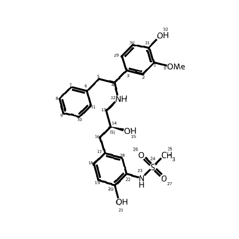 COc1cc(C(Cc2ccccc2)NC[C@@H](O)Cc2ccc(O)c(NS(C)(=O)=O)c2)ccc1O